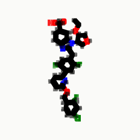 CCO[C@H]1COC[C@H]1n1c(Cc2cc(F)c(-c3cccc(OCc4ccc(Cl)cc4F)n3)cc2F)nc2ccc(C(=O)O)cc21